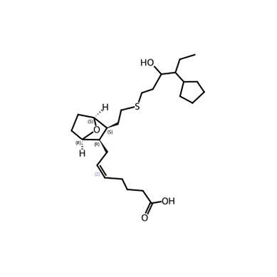 CCC(C(O)CCSCC[C@H]1[C@@H](C/C=C\CCCC(=O)O)[C@H]2CC[C@@H]1O2)C1CCCC1